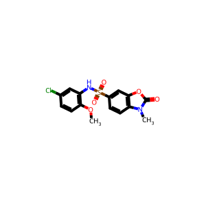 COc1ccc(Cl)cc1NS(=O)(=O)c1ccc2c(c1)oc(=O)n2C